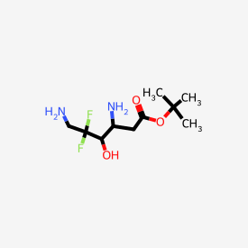 CC(C)(C)OC(=O)CC(N)C(O)C(F)(F)CN